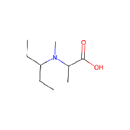 CCC(CC)N(C)C(C)C(=O)O